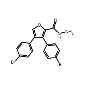 NNC(=O)c1occ(-c2ccc(Br)cc2)c1-c1ccc(Br)cc1